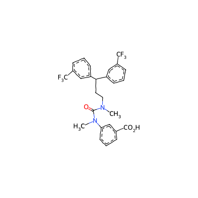 CN(CCC(c1cccc(C(F)(F)F)c1)c1cccc(C(F)(F)F)c1)C(=O)N(C)c1cccc(C(=O)O)c1